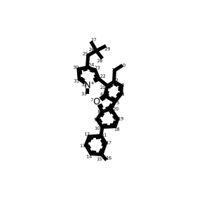 CCc1ccc2c(oc3cc(-c4cccc(C)c4)ccc32)c1-c1cc(CC(C)(C)C)cc[n+]1C